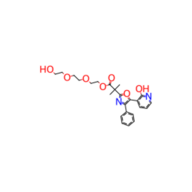 CC(C)(C(=O)OCCOCCOCCO)c1nc(-c2ccccc2)c(-c2cccnc2O)o1